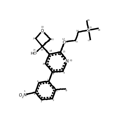 Cc1ccc([N+](=O)[O-])cc1-c1cnc(OCC[Si](C)(C)C)c(C2(O)COC2)c1